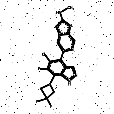 CNc1cn2cc(-c3c(Cl)c(F)c(N4CC(F)(F)C4)c4[nH]ncc34)ncc2n1